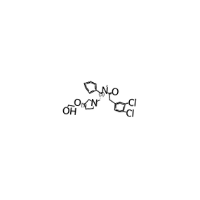 CN(C(=O)Cc1ccc(Cl)c(Cl)c1)[C@H](CN1CC[C@H](OCCO)C1)c1ccccc1